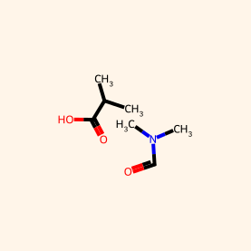 CC(C)C(=O)O.CN(C)C=O